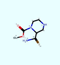 CC(C)(C)OC(=O)N1CCNCC1C(N)=S